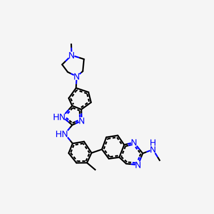 CNc1ncc2cc(-c3cc(Nc4nc5ccc(N6CCN(C)CC6)cc5[nH]4)ccc3C)ccc2n1